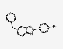 CCc1ccc(-c2cn3cc(Cc4ccccc4)ccc3n2)cc1